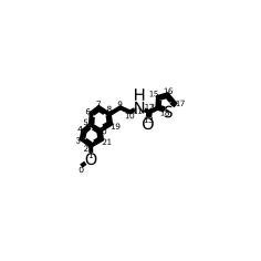 COc1ccc2ccc(CCNC(=O)c3cccs3)cc2c1